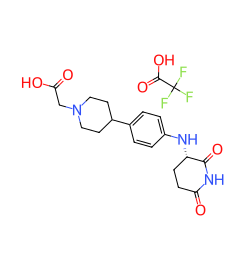 O=C(O)C(F)(F)F.O=C(O)CN1CCC(c2ccc(N[C@H]3CCC(=O)NC3=O)cc2)CC1